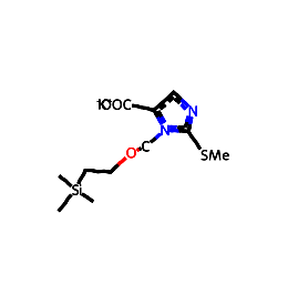 CSc1ncc(C(=O)[O-])n1COCC[Si](C)(C)C.[K+]